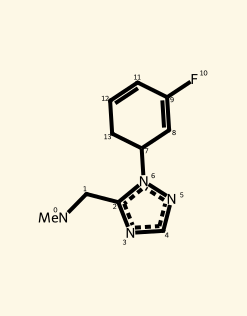 CNCc1ncnn1C1C=C(F)C=CC1